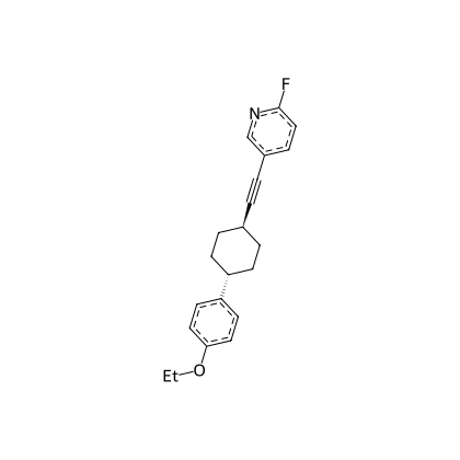 CCOc1ccc([C@H]2CC[C@H](C#Cc3ccc(F)nc3)CC2)cc1